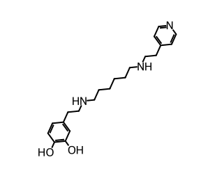 Oc1ccc(CCNCCCCCCNCCc2ccncc2)cc1O